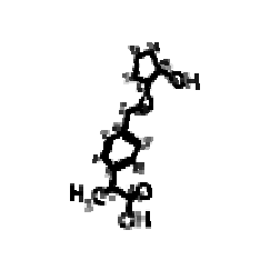 CC(C(=O)O)c1ccc(COC2CCCC2O)cc1